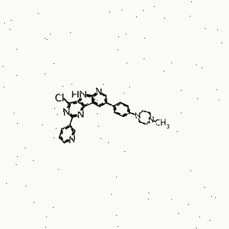 CN1CCN(c2ccc(-c3cnc4[nH]c5c(Cl)nc(-c6cccnc6)nc5c4c3)cc2)CC1